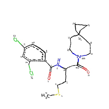 CSCCC(NC(=O)c1ccc(Cl)cc1Cl)C(=O)N1CCC2(CC1)CC2